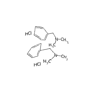 CN(C)Cc1ccccc1.CN(C)Cc1ccccc1.Cl.Cl